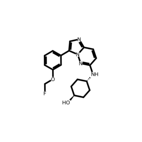 O[C@H]1CC[C@H](Nc2ccc3ncc(-c4cccc(OCF)c4)n3n2)CC1